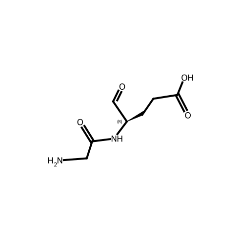 NCC(=O)N[C@@H](C=O)CCC(=O)O